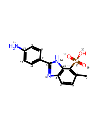 Cc1ccc2nc(-c3ccc(N)cc3)[nH]c2c1S(=O)(=O)O